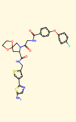 Nc1cnc(-c2csc(CNC(=O)C3CC4(CN3C(=O)CNC(=O)c3ccc(Oc5ccc(F)cc5)cc3)OCCO4)c2)s1